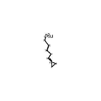 CCCCCCCCC=C1CC1